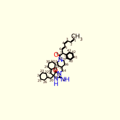 C\C=C/C=C\C=C\C(C(=O)N1CCC(CN2C(=N)NC(CC3CCCCC3)(CC3CCCCC3)C2=O)CC1)c1ccccc1